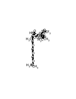 CC(COCCOCCOCCOCCOCCOCCN(C)C)C(=O)OCC(=O)[C@H](C[C@@H]1CCNC1=O)NC(=O)[C@@H]1[C@@H]2[C@H](CN1C(=O)[C@@H](NC(=O)C(F)(F)F)C(C)(C)C)C2(C)C